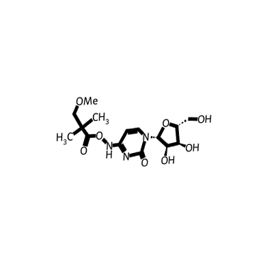 COCC(C)(C)C(=O)ONc1ccn([C@@H]2O[C@H](CO)[C@@H](O)[C@H]2O)c(=O)n1